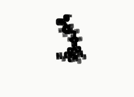 CC(C)(C)OC(=O)N1CC(Cn2ccc([N+](=O)[O-])c2)C1